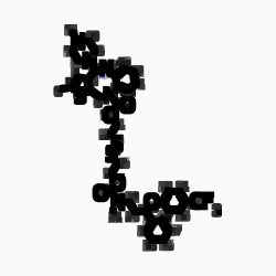 Cc1cc2c(s1)CN(C(=O)OCCSSCCOC(=O)N(C)CCC(Oc1ccc(C(F)(F)F)cc1)c1ccccc1)c1ccccc1/N=C\2N1CCN(C)CC1